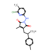 CC1=C(CC(C(=O)O)c2ccc(C)cc2)C(=O)N(Nc2ccc(C(F)(F)F)c(Cl)n2)C1=O